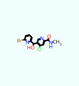 CNC(=O)c1cc(Cl)c(C(O)c2cccc(Br)n2)cn1